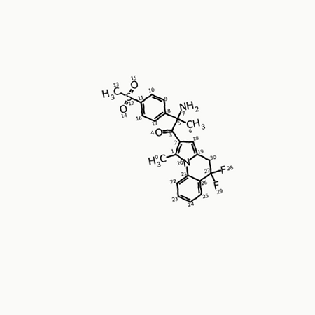 Cc1c(C(=O)C(C)(N)c2ccc(S(C)(=O)=O)cc2)cc2n1-c1ccccc1C(F)(F)C2